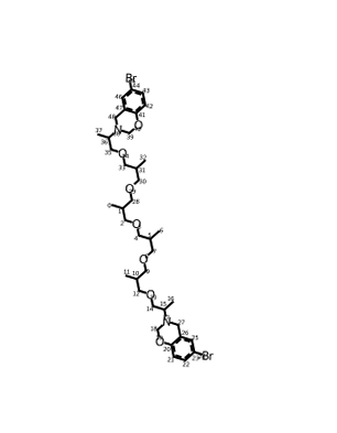 CC(COCC(C)COCC(C)COCC(C)N1COc2ccc(Br)cc2C1)COCC(C)COCC(C)N1COc2ccc(Br)cc2C1